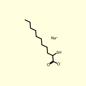 CCCCCCCCCC(S)C(=O)[O-].[Na+]